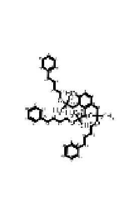 CC(C)(Cc1ccc(O)c(CC(C)(C)OCCCCc2ccccc2)c1CC(C)(C)OCCCCc1ccccc1)OCCCCc1ccccc1